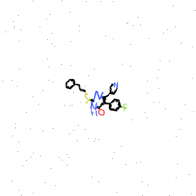 O=c1[nH]c(SCCCc2ccccc2)nc(-c2ccncc2)c1-c1ccc(F)cc1